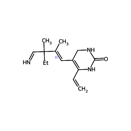 C=CC1=C(/C=C(\C)C(C)(C=N)CC)CNC(=O)N1